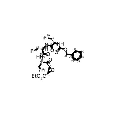 CCOC(=O)[C@H]1O[C@@H]1C(=O)N(CC(C)C)NC(=O)[C@H](CC(C)C)NC(=O)[C@H](CC(C)C)NC(=O)OCc1ccccc1